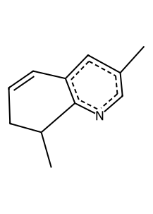 Cc1cnc2c(c1)C=CCC2C